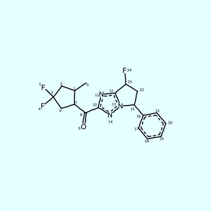 CC1CC(F)(F)CC1C(=O)c1nc2n(n1)C(c1ccccc1)CC2F